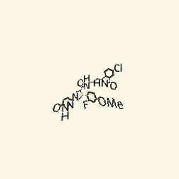 COc1ccc([C@@H]2CN(c3ccc(=O)[nH]n3)C[C@H]2C(=O)NCCC[C@@H]2NC(=O)c3cc(Cl)ccc32)c(F)c1